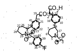 CS(=O)(=O)N1CCCC(c2cccc(CC(=O)O)c2)C1.O=C(O)Cc1cccc(C2CCCCN2S(=O)(=O)c2ccc(F)cc2)c1